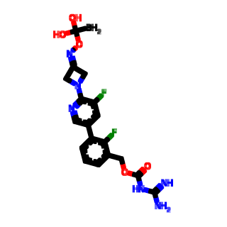 BC(O)(O)ON=C1CN(c2ncc(-c3cccc(COC(=O)NC(=N)N)c3F)cc2F)C1